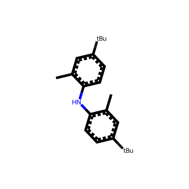 Cc1cc(C(C)(C)C)ccc1Nc1ccc(C(C)(C)C)cc1C